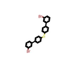 Brc1cccc(-c2ccc(Sc3ccc(-c4cccc(Br)c4)cc3)cc2)c1